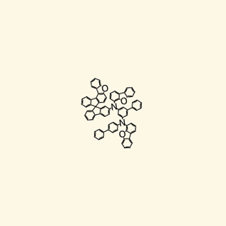 c1ccc(-c2ccc(N(c3cc(-c4ccccc4)cc(N(c4ccc5c(c4)C4(c6ccccc6-5)c5ccccc5-c5c4ccc4oc6ccccc6c54)c4cccc5c4oc4ccccc45)c3)c3cccc4c3oc3ccccc34)cc2)cc1